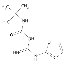 CC(C)(C)NC(=O)NC(=N)Nc1ccco1